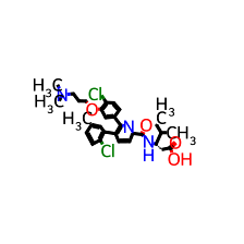 CCC(C)[C@H](CC(=O)O)NC(=O)c1ccc(-c2cc(C)ccc2Cl)c(-c2ccc(Cl)c(OCCCN(C)C)c2)n1